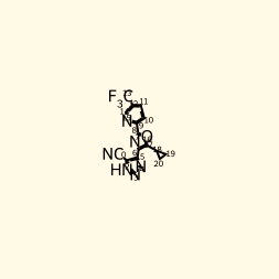 N#Cc1[nH]nnc1-c1nc(-c2ccc(C(F)(F)F)cn2)oc1C1CC1